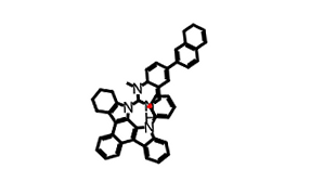 CN1C2C=CC(c3ccc4c(c3)CCC=C4)=CC2=CNC1n1c2c(c3c4ccccc4c4c5ccccc5n(C5=CC=CCC5)c4c31)CCCC2